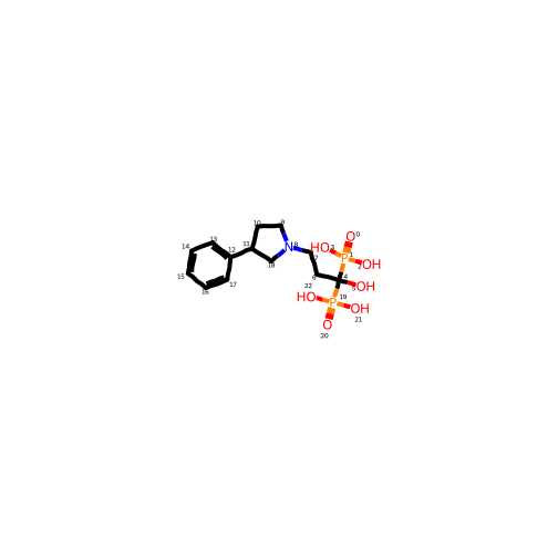 O=P(O)(O)C(O)(CCN1CCC(c2ccccc2)C1)P(=O)(O)O